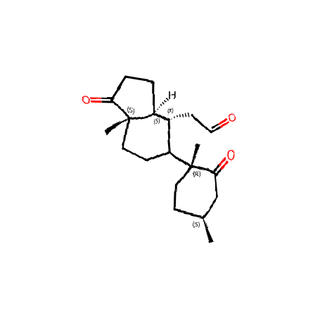 C[C@H]1CC[C@](C)(C2CC[C@]3(C)C(=O)CC[C@H]3[C@@H]2CC=O)C(=O)C1